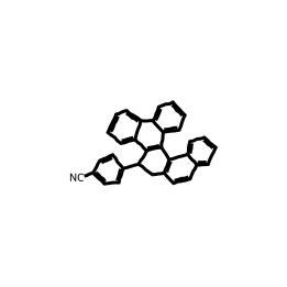 N#Cc1ccc(C2Cc3ccc4ccccc4c3-c3c2c2ccccc2c2ccccc32)cc1